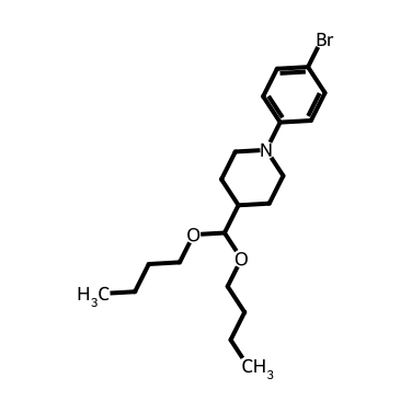 CCCCOC(OCCCC)C1CCN(c2ccc(Br)cc2)CC1